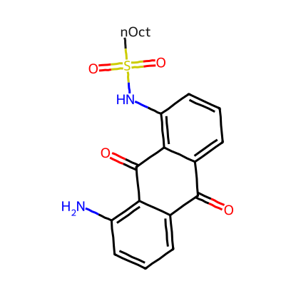 CCCCCCCCS(=O)(=O)Nc1cccc2c1C(=O)c1c(N)cccc1C2=O